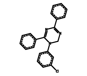 Clc1cccc(N2CN=C(c3ccccc3)N=C2c2ccccc2)c1